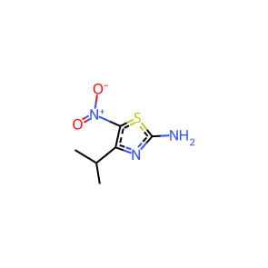 CC(C)c1nc(N)sc1[N+](=O)[O-]